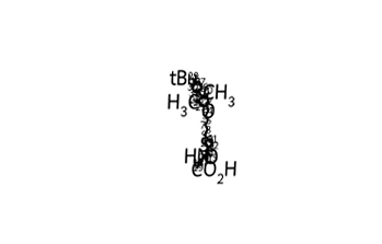 Cc1cc(OCCCCCc2ccc(C(=O)NCCC(=O)O)s2)cc(C)c1-c1ccc(C(C)(C)C)cc1